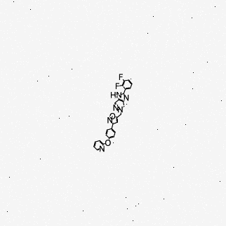 Fc1cccc(-c2nc3c([nH]2)C=NN(Cc2cc(-c4ccc(Oc5ccccn5)cc4)no2)C3)c1F